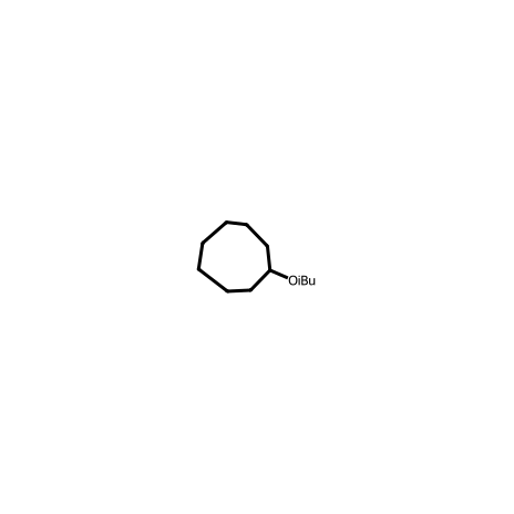 CC(C)COC1CCCCCCC1